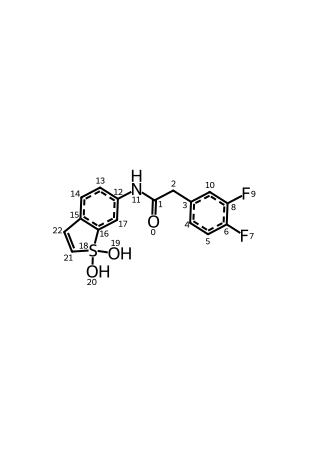 O=C(Cc1ccc(F)c(F)c1)Nc1ccc2c(c1)S(O)(O)C=C2